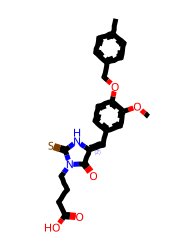 COc1cc(/C=C2\NC(=S)N(CCCC(=O)O)C2=O)ccc1OCc1ccc(C)cc1